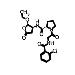 CCO[C@@H]1OC(=O)C[C@@H]1NC(=O)[C@@H]1CCCN1C(=O)CNC(=O)c1ccccc1Cl